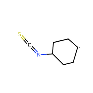 S=C=NC1CC[CH]CC1